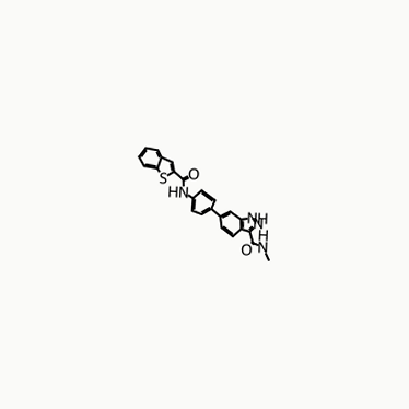 CNC(=O)c1n[nH]c2cc(-c3ccc(NC(=O)c4cc5ccccc5s4)cc3)ccc12